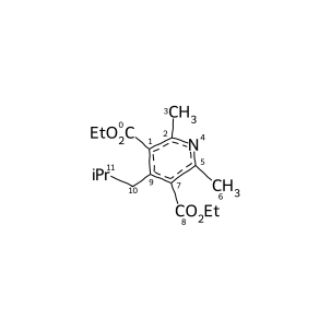 CCOC(=O)c1c(C)nc(C)c(C(=O)OCC)c1CC(C)C